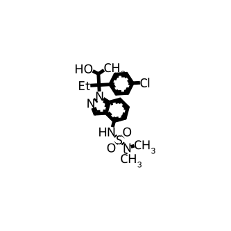 CCC(c1ccc(Cl)cc1)(C(C)O)n1ncc2c(NS(=O)(=O)N(C)C)cccc21